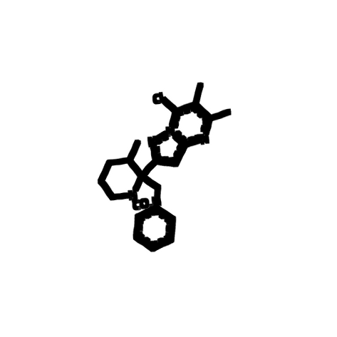 Cc1nc2cc(C3(Cc4ccccc4)C(C)CCCN3C(=O)O)nn2c(Cl)c1C